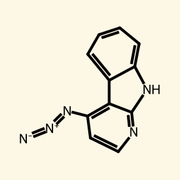 [N-]=[N+]=Nc1ccnc2[nH]c3ccccc3c12